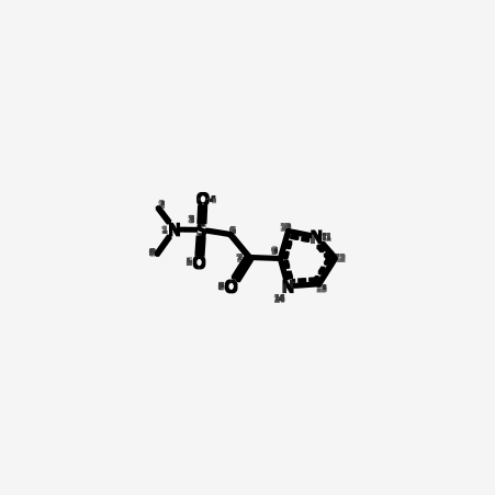 CN(C)S(=O)(=O)CC(=O)c1cnccn1